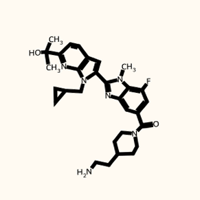 Cn1c(-c2cc3ccc(C(C)(C)O)nc3n2CC2CC2)nc2cc(C(=O)N3CCC(CCN)CC3)cc(F)c21